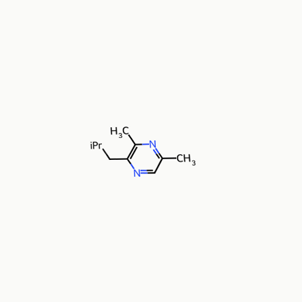 Cc1cnc(CC(C)C)c(C)n1